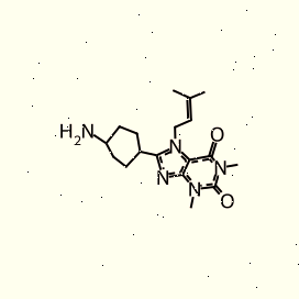 CC(C)=CCn1c(C2CCC(N)CC2)nc2c1c(=O)n(C)c(=O)n2C